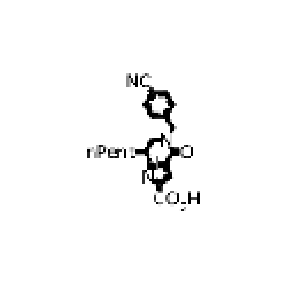 CCCCCC1CN(Cc2ccc(C#N)cc2)C(=O)c2cc(C(=O)O)nn21